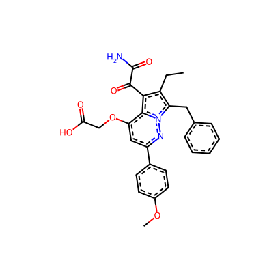 CCc1c(C(=O)C(N)=O)c2c(OCC(=O)O)cc(-c3ccc(OC)cc3)nn2c1Cc1ccccc1